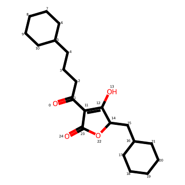 O=C(CCCC1CCCCC1)C1=C(O)C(CC2CCCCC2)OC1=O